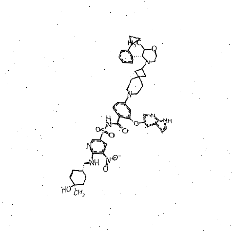 CC1OCCN(C2CC3(CCN(c4ccc(C(=O)NS(=O)(=O)c5cnc(NC[C@H]6CC[C@](C)(O)CC6)c([N+](=O)[O-])c5)c(Oc5cnc6[nH]ccc6c5)c4)CC3)C2)[C@@H]1c1ccccc1C1CC1